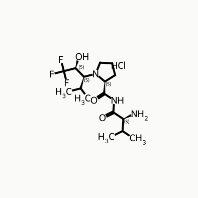 CC(C)[C@H](N)C(=O)NC(=O)[C@@H]1CCCN1[C@@H](C(C)C)[C@H](O)C(F)(F)F.Cl